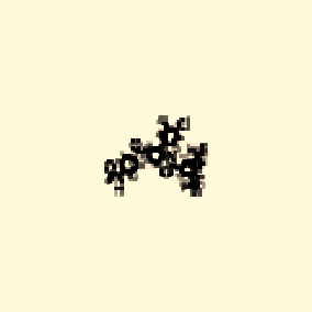 CC(=O)N[C@H]1CC[C@H](C(=O)N2CC[C@@H](N(C)C(=O)c3cc(C(F)(F)F)cc(C(F)(F)F)c3)[C@H](c3ccc(Cl)c(C)c3)C2)CC1